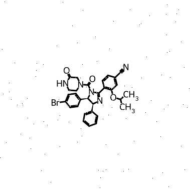 CC(C)Oc1cc(C#N)ccc1C1=N[C@@H](c2ccccc2)[C@@H](c2ccc(Br)cc2)N1C(=O)N1CCNC(=O)C1